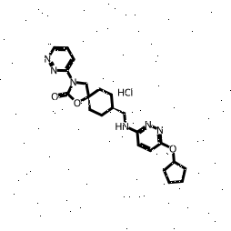 Cl.O=C1O[C@]2(CC[C@H](CNc3ccc(OC4CCCC4)nn3)CC2)CN1c1cccnn1